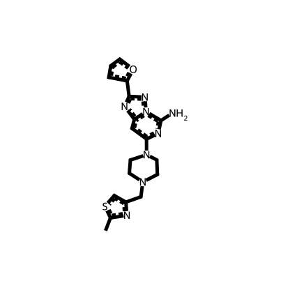 Cc1nc(CN2CCN(c3cc4nc(-c5ccco5)nn4c(N)n3)CC2)cs1